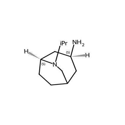 CC(C)N1CC2CC[C@H]1C[C@@H](N)C2